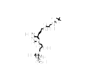 CC(C)(C)OC(=O)NCCC(=O)NCC#Cc1cn(C2CC(O)C(COP(=O)(O)OP(=O)(O)O)O2)c(=O)nc1N